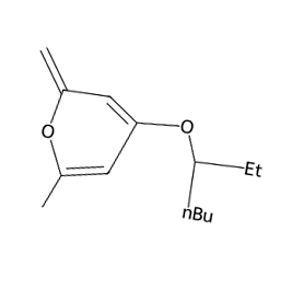 C=C1C=C(OC(CC)CCCC)C=C(C)O1